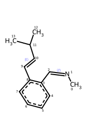 C/N=C\c1ccccc1/C=C/C(C)C